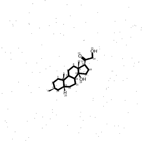 C[C@H]1CC[C@]2(C)C3CC[C@]4(C)[C@@H](C(=O)CO)CC[C@]4(O)C3CC[C@@H]2C1